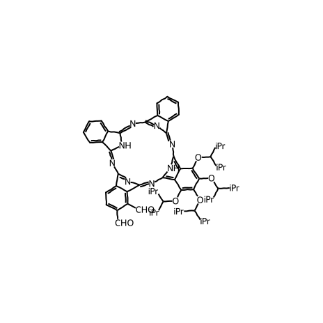 CC(C)C(Oc1c(OC(C(C)C)C(C)C)c(OC(C(C)C)C(C)C)c2c3nc4nc(nc5[nH]c(nc6nc(nc([nH]3)c2c1OC(C(C)C)C(C)C)-c1ccccc1-6)c1ccccc51)-c1ccc(C=O)c(C=O)c1-4)C(C)C